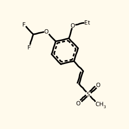 CCOc1cc(/C=C/S(C)(=O)=O)ccc1OC(F)F